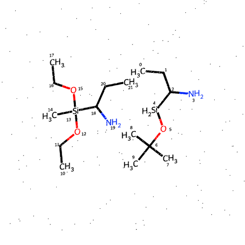 CCC(N)[SiH2]OC(C)(C)C.CCO[Si](C)(OCC)C(N)CC